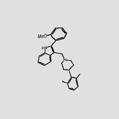 COc1ccccc1-c1[nH]c2ccccc2c1CN1CCC(c2c(C)cccc2C)CC1